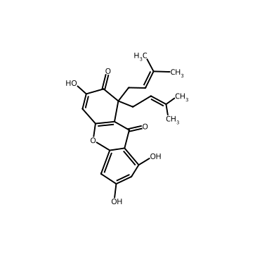 CC(C)=CCC1(CC=C(C)C)C(=O)C(O)=Cc2oc3cc(O)cc(O)c3c(=O)c21